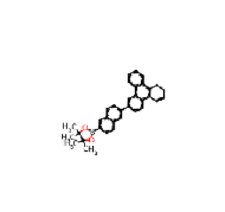 CC1(C)OB(c2ccc3cc(-c4ccc5c6c(c7ccccc7c5c4)CCC=C6)ccc3c2)OC1(C)C